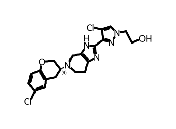 OCCn1cc(Cl)c(-c2nc3c([nH]2)CN([C@H]2COc4ccc(Cl)cc4C2)CC3)n1